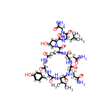 CC[C@H](C)[C@@H]1NC(=O)[C@H](Cc2ccc(O)cc2)NC(=O)CNC(=O)CC[C@@H](C(=O)N2C[C@H](O)C[C@H]2C(=O)N[C@@H](CC(C)C)C(=O)NCC(N)=O)NC(=O)[C@H](CC(N)=O)NC(=O)[C@H](CCC(N)=O)NC1=O